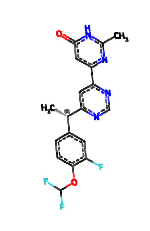 Cc1nc(-c2cc([C@@H](C)c3ccc(OC(F)F)c(F)c3)ncn2)cc(=O)[nH]1